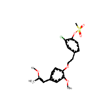 CCCCOc1cc(C=C(OCC)C(=O)O)ccc1OCCc1ccc(OS(C)(=O)=O)c(Cl)c1